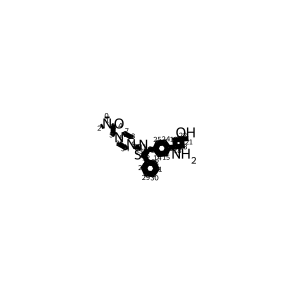 CN(C)C(=O)CN1CCN(c2nc(-c3ccc(C4(N)CC(C)(O)C4)cc3)c(-c3ccccc3)s2)CC1